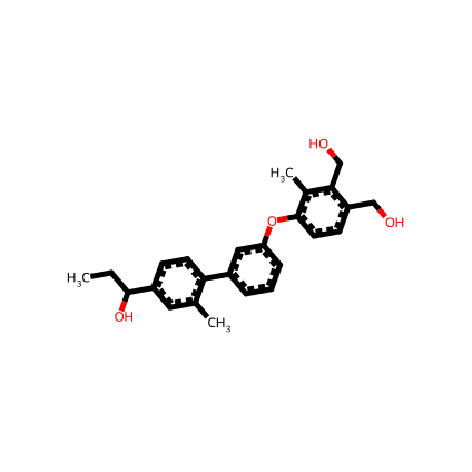 CCC(O)c1ccc(-c2cccc(Oc3ccc(CO)c(CO)c3C)c2)c(C)c1